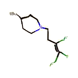 CC(C)(C)C1CCN(CCC(F)=C(F)F)CC1